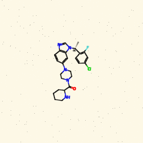 C[C@H](c1ccc(Cl)cc1F)n1cnc2ccc(N3CCN(C(=O)C4CCCCN4)CC3)cc21